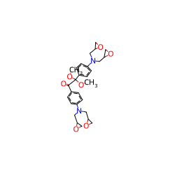 COC(OC)(C(=O)c1ccc(N(CC2CO2)CC2CO2)cc1)c1ccc(N(CC2CO2)CC2CO2)cc1